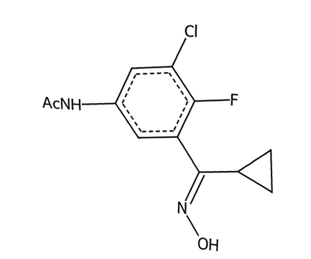 CC(=O)Nc1cc(Cl)c(F)c(/C(=N/O)C2CC2)c1